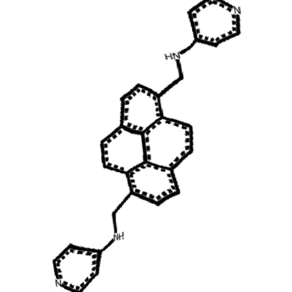 c1cc(NCc2ccc3ccc4c(CNc5ccncc5)ccc5ccc2c3c54)ccn1